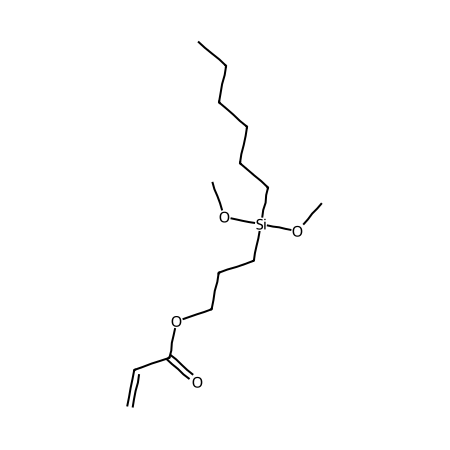 C=CC(=O)OCCC[Si](CCCCCC)(OC)OC